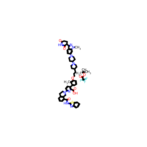 CC(C)(C)OC(=O)C(F)(F)F.Cc1c(OCCCC2CCN(C3CCN(c4ccc5c(C6CCC(=O)NC6=O)nn(C)c5c4)CC3)CC2)cccc1-c1ccc(N2CCc3cccc(C(=O)Nc4nc5ccccc5s4)c3C2)nc1C(=O)O